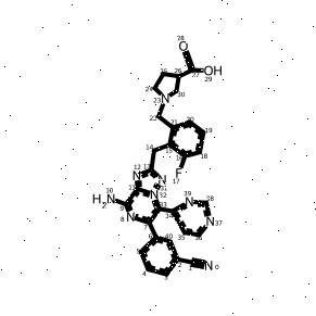 N#Cc1cccc(-c2nc(N)c3nc(Cc4c(F)cccc4CN4CCC(C(=O)O)C4)nn3c2-c2ccncn2)c1